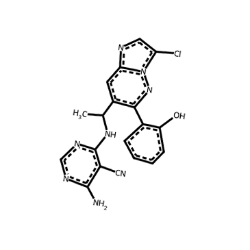 CC(Nc1ncnc(N)c1C#N)c1cc2ncc(Cl)n2nc1-c1ccccc1O